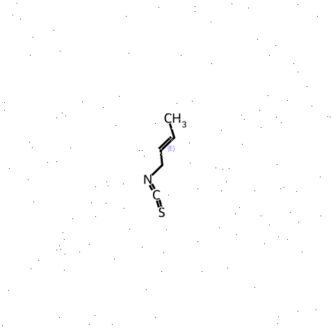 C/C=C/CN=C=S